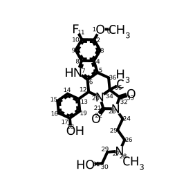 COc1cc2c3c([nH]c2cc1F)C(c1cccc(O)c1)N1C(=O)N(CCCN(C)CCO)C(=O)C1(C)C3